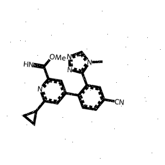 COC(=N)c1cc(-c2ccc(C#N)cc2-c2nncn2C)cc(C2CC2)n1